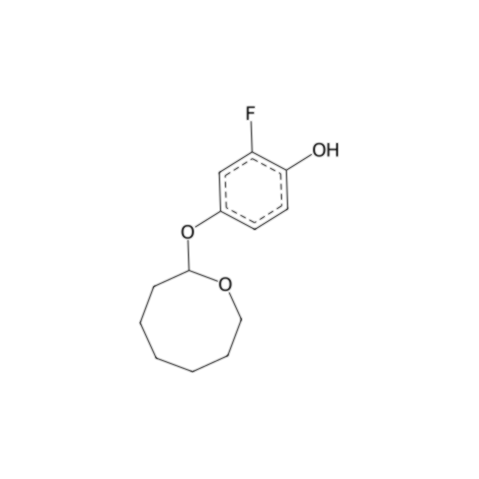 Oc1ccc(OC2CCCCCCO2)cc1F